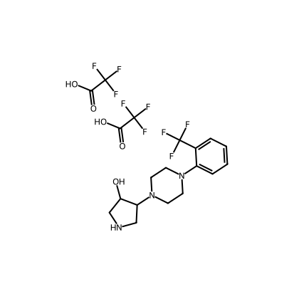 O=C(O)C(F)(F)F.O=C(O)C(F)(F)F.OC1CNCC1N1CCN(c2ccccc2C(F)(F)F)CC1